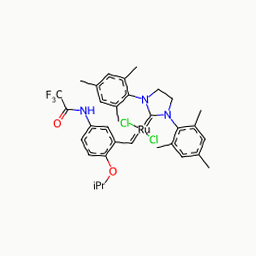 Cc1cc(C)c(N2CCN(c3c(C)cc(C)cc3C)[C]2=[Ru]([Cl])([Cl])=[CH]c2cc(NC(=O)C(F)(F)F)ccc2OC(C)C)c(C)c1